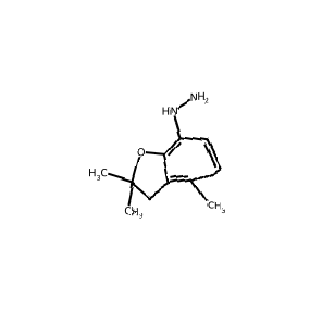 Cc1ccc(NN)c2c1CC(C)(C)O2